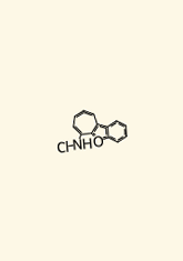 ClNC1=CC=C=Cc2c1oc1ccccc21